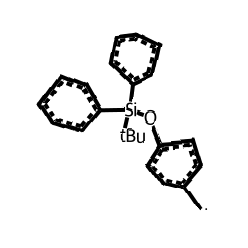 [CH2]c1ccc(O[Si](c2ccccc2)(c2ccccc2)C(C)(C)C)cc1